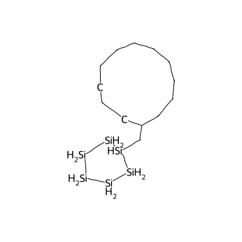 C1CCCCCC(C[SiH]2[SiH2][SiH2][SiH2][SiH2][SiH2]2)CCCCC1